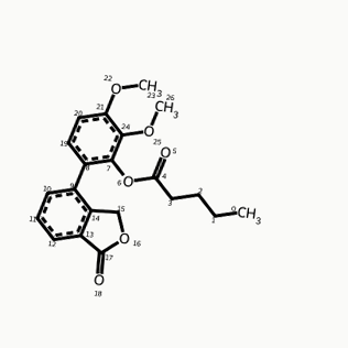 CCCCC(=O)Oc1c(-c2cccc3c2COC3=O)ccc(OC)c1OC